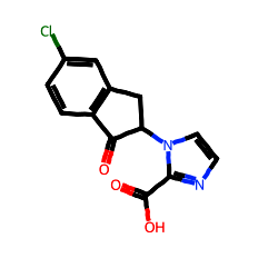 O=C(O)c1nccn1C1Cc2cc(Cl)ccc2C1=O